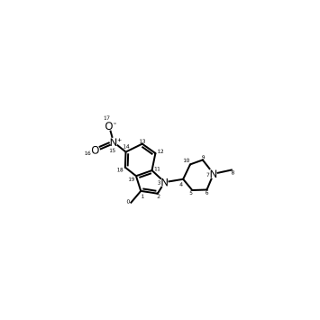 Cc1cn(C2CCN(C)CC2)c2ccc([N+](=O)[O-])cc12